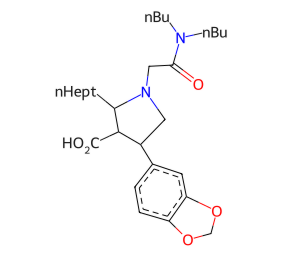 CCCCCCCC1C(C(=O)O)C(c2ccc3c(c2)OCO3)CN1CC(=O)N(CCCC)CCCC